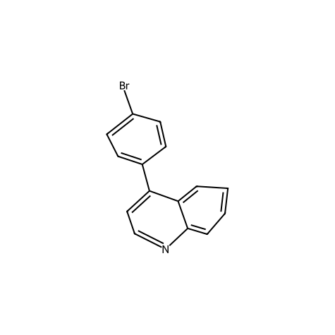 Brc1ccc(-c2ccnc3ccccc23)cc1